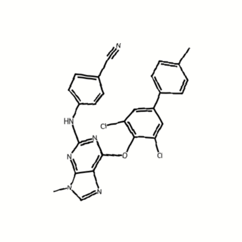 Cc1ccc(-c2cc(Cl)c(Oc3nc(Nc4ccc(C#N)cc4)nc4c3ncn4C)c(Cl)c2)cc1